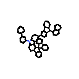 c1ccc(-c2cccc(-n3c4ccc(-c5ccc6c(c5)-c5ccccc5C6c5cccc6ccccc56)cc4c4c5c(ccc43)-c3ccccc3C5(c3ccccc3)c3ccccc3)c2)cc1